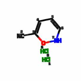 Cl.Cl.N#CC1=CC=CNO1